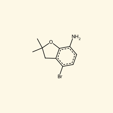 CC1(C)Cc2c(Br)ccc(N)c2O1